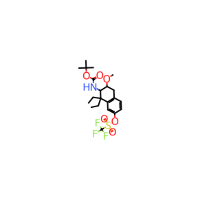 CCC1(CC)c2cc(OS(=O)(=O)C(F)(F)F)ccc2CC(OC)C1NC(=O)OC(C)(C)C